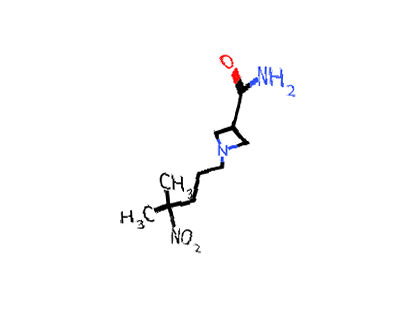 CC(C)(CCCN1CC(C(N)=O)C1)[N+](=O)[O-]